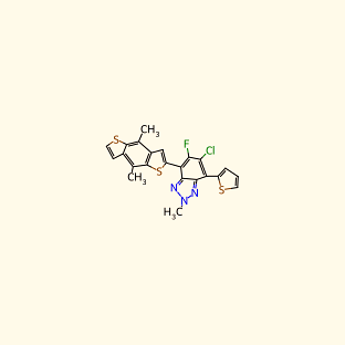 Cc1c2cc(-c3c(F)c(Cl)c(-c4cccs4)c4nn(C)nc34)sc2c(C)c2ccsc12